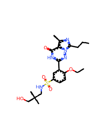 CCCc1nc(C)c2c(=O)[nH]c(-c3cc(S(=O)(=O)NCC(C)(C)CO)ccc3OCC)nn12